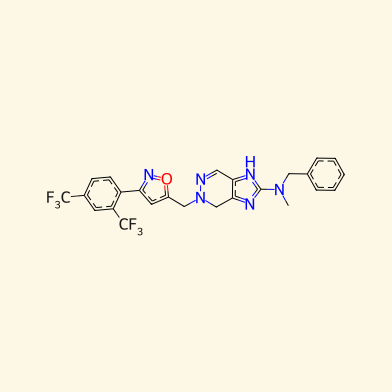 CN(Cc1ccccc1)c1nc2c([nH]1)C=NN(Cc1cc(-c3ccc(C(F)(F)F)cc3C(F)(F)F)no1)C2